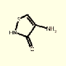 Nc1cs[nH]c1=O